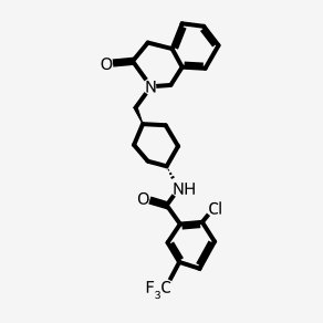 O=C(N[C@H]1CC[C@H](CN2Cc3ccccc3CC2=O)CC1)c1cc(C(F)(F)F)ccc1Cl